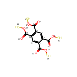 O=C(OS)c1cc(C(=O)OS)c(C(=O)OS)cc1C(=O)OS